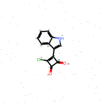 O=c1c(Cl)c(-c2c[nH]c3ccccc23)c1=O